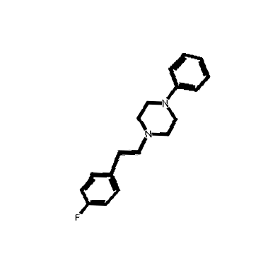 Fc1ccc(CCN2CCN(c3ccccc3)CC2)cc1